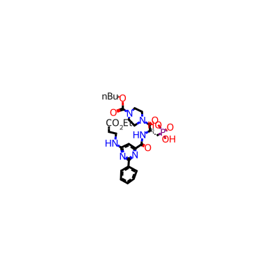 CCCCOC(=O)N1CCN(C(=O)[C@H](CP(=O)(O)O)NC(=O)c2cc(NCCC(=O)OCC)nc(-c3ccccc3)n2)CC1